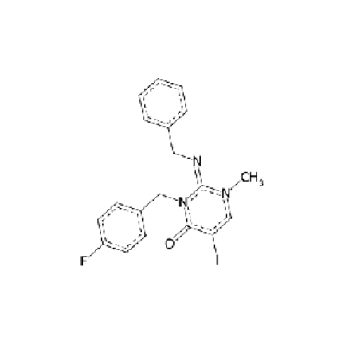 Cn1cc(I)c(=O)n(Cc2ccc(F)cc2)/c1=N\Cc1ccccc1